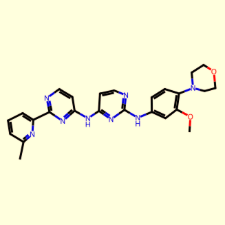 COc1cc(Nc2nccc(Nc3ccnc(-c4cccc(C)n4)n3)n2)ccc1N1CCOCC1